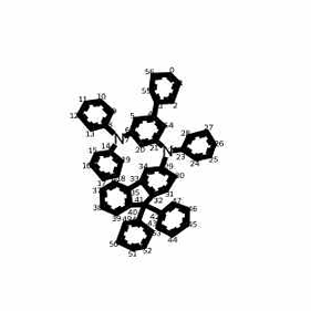 c1ccc(-c2cc(N(c3ccccc3)c3ccccc3)cc(N(c3ccccc3)c3ccc4c(c3)-c3ccccc3C4(c3ccccc3)c3ccccc3)c2)cc1